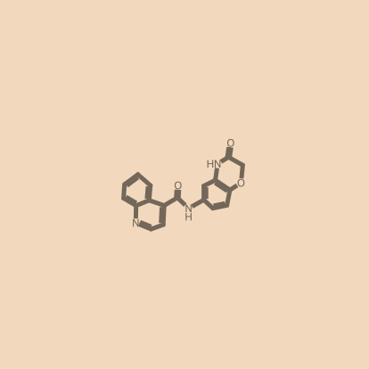 O=C1COc2ccc(NC(=O)c3ccnc4ccccc34)cc2N1